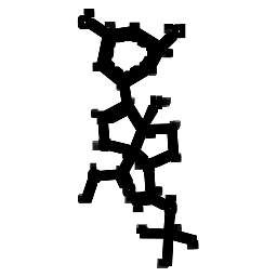 COC(=O)C12ON=C(c3cc(Cl)cc(Cl)c3)[C@@H]1CCN2C(=O)OC(C)(C)C